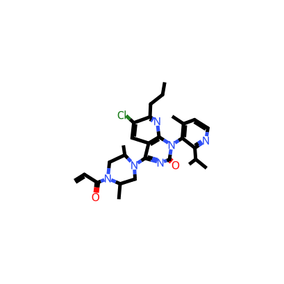 C=CC(=O)N1CC(C)N(c2nc(=O)n(-c3c(C)ccnc3C(C)C)c3nc(CCC)c(Cl)cc23)CC1C